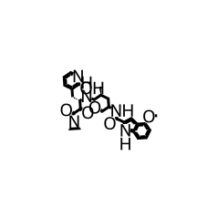 COc1cccc2[nH]c(C(=O)NC(C=O)C[C@H](C)CN[C@@H](Cc3cccnc3O)C(=O)C(=O)N3CC3)cc12